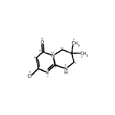 CC1(C)CNc2nc(Cl)cc(=O)n2C1